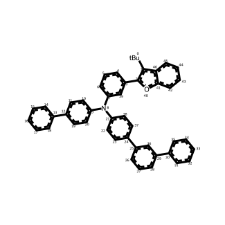 CC(C)(C)c1c(-c2cccc(N(c3ccc(-c4ccccc4)cc3)c3ccc(-c4cccc(-c5ccccc5)c4)cc3)c2)oc2ccccc12